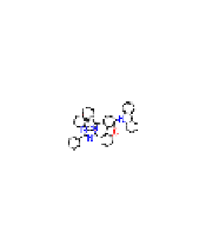 c1ccc(-c2nc(-c3ccccc3)nc(-c3cccc4oc5c(-n6c7ccccc7c7ccccc76)ccc(-c6ccc7ccccc7c6)c5c34)n2)cc1